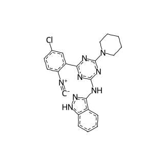 [C-]#[N+]c1ccc(Cl)cc1-c1nc(Nc2n[nH]c3ccccc23)nc(N2CCCCC2)n1